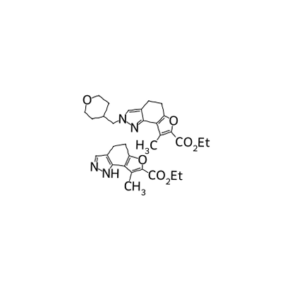 CCOC(=O)c1oc2c(c1C)-c1[nH]ncc1CC2.CCOC(=O)c1oc2c(c1C)-c1nn(CC3CCOCC3)cc1CC2